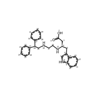 O=C(O)C[C@@H](Cc1c[nH]c2ccccc12)NCCNCC(c1ccccc1)c1ccccc1